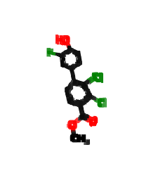 COC(=O)c1ccc(-c2ccc(O)c(F)c2)c(Cl)c1Cl